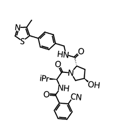 Cc1ncsc1-c1ccc(CNC(=O)[C@@H]2C[C@@H](O)CN2C(=O)[C@@H](NC(=O)c2ccccc2C#N)C(C)C)cc1